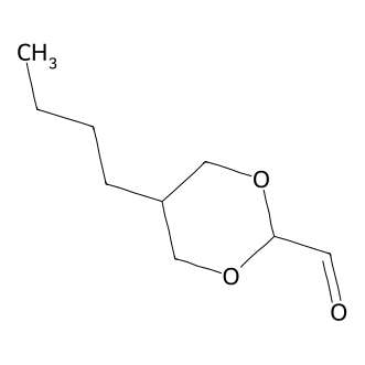 CCCCC1COC(C=O)OC1